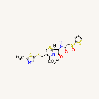 Cc1ncc(SCC2=C(C(=O)O)N3C(=O)C(NC(=O)C[S+]([O-])c4cccs4)[C@@H]3SC2)s1